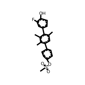 Cc1cc(-c2ccc(OS(C)(=O)=O)cc2)c(C)c(C)c1-c1ccc(O)c(F)c1